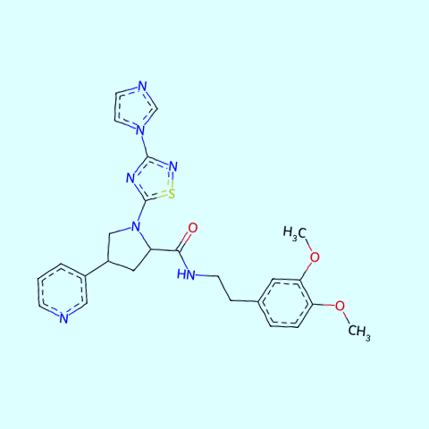 COc1ccc(CCNC(=O)C2CC(c3cccnc3)CN2c2nc(-n3ccnc3)ns2)cc1OC